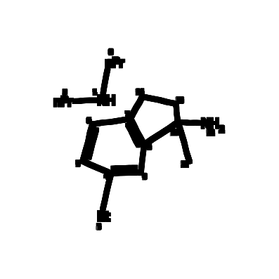 CCCNCCC.CCc1ccc2c(c1)C(C)(N)CC2